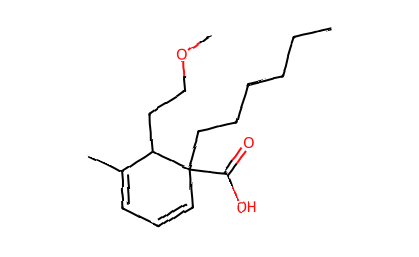 CCCCCCC1(C(=O)O)C=CC=C(C)C1CCOC